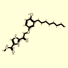 CCCCCCCCc1cc(OCC(=O)c2nc(C(=O)OC)cs2)ccc1Cl